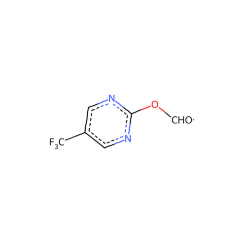 O=[C]Oc1ncc(C(F)(F)F)cn1